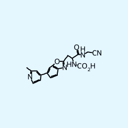 Cc1cc(-c2ccc3nc(CC(NC(=O)O)C(=O)NCC#N)oc3c2)ccn1